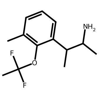 Cc1cccc(C(C)C(C)N)c1OC(C)(F)F